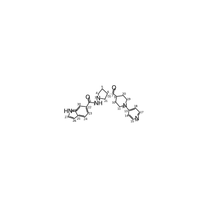 O=C(NN1CC[C@H](C(=O)C2CCN(c3ccncc3)CC2)C1)c1ccc2cc[nH]c2c1